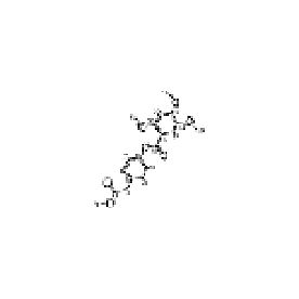 COC(=O)Cc1ccc(OC(=O)c2cc(OC)c(OC)cc2OC)cc1